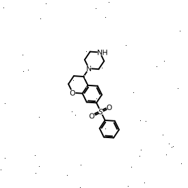 O=S(=O)(c1ccccc1)c1ccc2c(c1)OCCC2N1CCNCC1